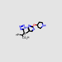 CCCC(C(=O)O)[C@H](Cc1cnc(OC2CCNCC2)nc1)c1nnn[nH]1